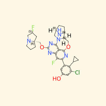 Oc1cc(Cl)c(C2CC2)c(-c2nc3c4c(nc(OC[C@]56CCCN5C[C@@H](F)C6)nc4c2F)N2C[C@H]4CC[C@H](N4)[C@H]2CO3)c1